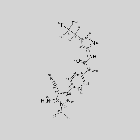 C=C(C(=O)Nc1cc(C(C)(C)C(F)(F)F)on1)c1ccc(-c2nn(C(C)C)c(N)c2C#N)nc1